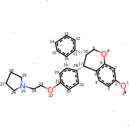 COc1ccc2c(c1)OC[C@@H](c1ccccc1)[C@H]2c1ccc(OCCN2CCCC2)cc1